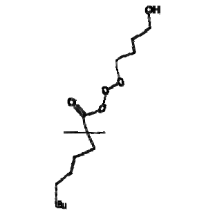 CC(C)(C)CCCCC(C)(C)C(=O)OOOCCCCO